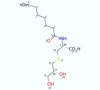 CCCCCCCCCCCCCCCC(=O)N[C@@H](CSC[C@H](O)CO)C(=O)O